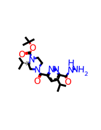 CC(C)c1cc(C(=O)N2CCN(C(=O)OC(C)(C)C)[C@@H](C(C)C)C2)nnc1C(=O)NN